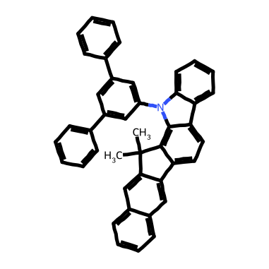 CC1(C)c2cc3ccccc3cc2-c2ccc3c4ccccc4n(-c4cc(-c5ccccc5)cc(-c5ccccc5)c4)c3c21